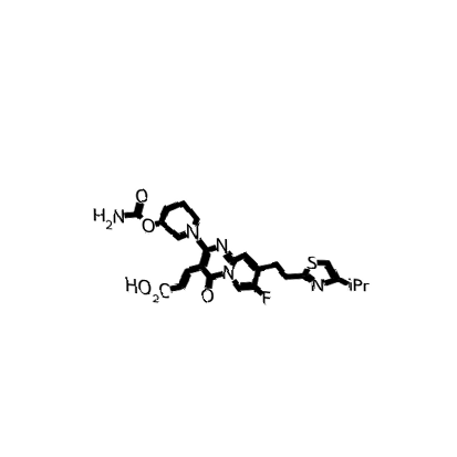 CC(C)c1csc(CCc2cc3nc(N4CCCC(OC(N)=O)C4)c(C=CC(=O)O)c(=O)n3cc2F)n1